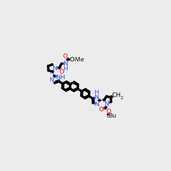 C=C1C[C@@H](c2ncc(-c3ccc(-c4ccc5cc(-c6cnc([C@@H]7CCCN7C(=O)CNC(=O)OC)[nH]6)ccc5c4)cc3)[nH]2)N(C(=O)OC(C)(C)C)C1